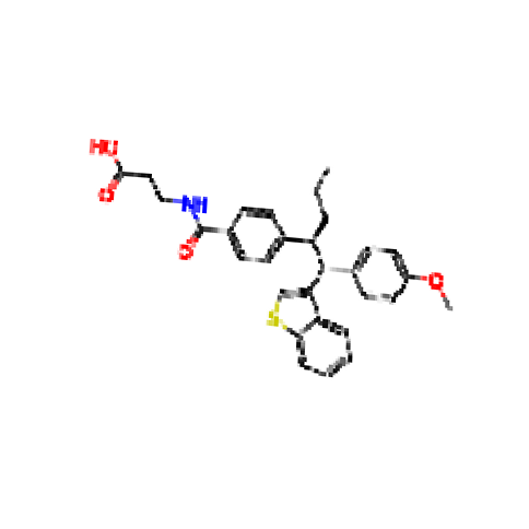 CCC[C@H](c1ccc(C(=O)NCCC(=O)O)cc1)C(c1ccc(OC)cc1)c1csc2ccccc12